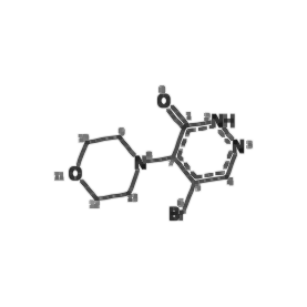 O=c1[nH]ncc(Br)c1N1CCOCC1